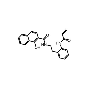 C=CC(=O)Nc1ccccc1CCNC(=O)c1ccc2ccccc2c1O